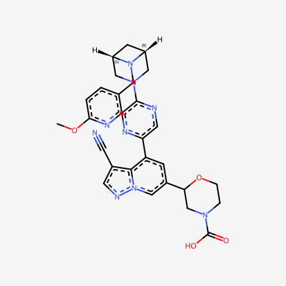 COc1ccc(CN2[C@@H]3C[C@H]2CN(c2cnc(-c4cc(C5CN(C(=O)O)CCO5)cn5ncc(C#N)c45)cn2)C3)cn1